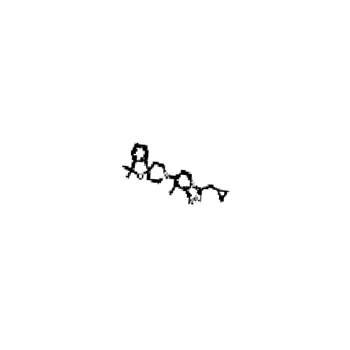 Cc1c(N2CCC3(CC2)OC(C)(C)c2ccccc23)ccn2c(CC3CC3)nnc12